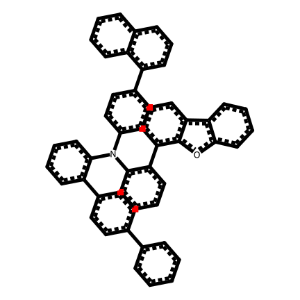 c1ccc(-c2ccc(-c3ccccc3N(c3ccc(-c4cccc5ccccc45)cc3)c3ccccc3-c3cccc4c3oc3ccccc34)cc2)cc1